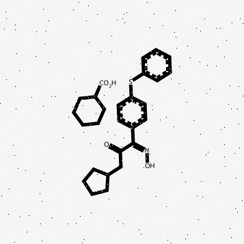 O=C(CC1CCCC1)C(=NO)c1ccc(Sc2ccccc2)cc1.O=C(O)C1CCCCC1